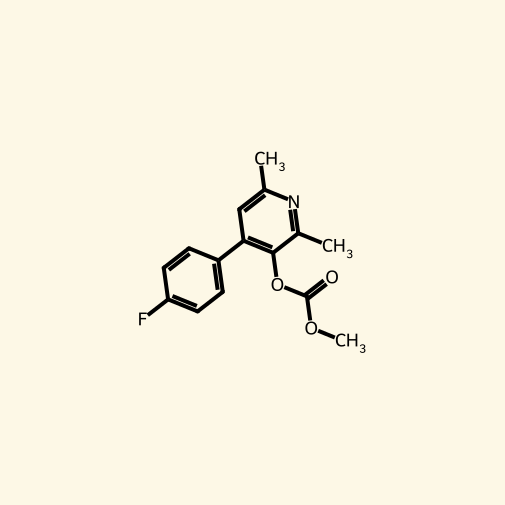 COC(=O)Oc1c(-c2ccc(F)cc2)cc(C)nc1C